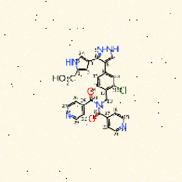 O=C(O)c1cc(-c2n[nH]cc2-c2ccc(CN(C(=O)c3ccncc3)C(=O)c3ccncc3)c(Cl)c2)c[nH]1